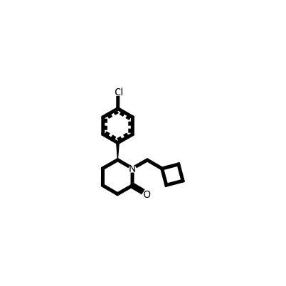 O=C1CCC[C@@H](c2ccc(Cl)cc2)N1CC1CCC1